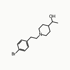 CC(O)C1CCN(CCc2ccc(Br)cc2)CC1